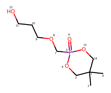 CC1(C)COP(=O)(COCCCO)OC1